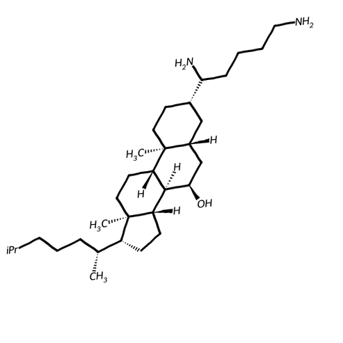 CC(C)CCC[C@@H](C)[C@H]1CC[C@H]2[C@@H]3[C@H](O)C[C@H]4C[C@@H](C(N)CCCCN)CC[C@]4(C)[C@H]3CC[C@]12C